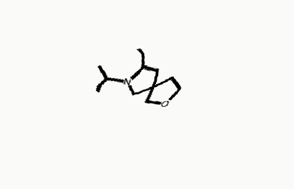 CC(C)N1CC2(CCOC2)CC1C